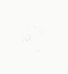 NCC(Cc1n[nH]c(=O)n1CCc1cccs1)=C(F)F.O=C(O)C(F)(F)F